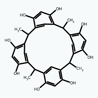 CC1c2cc(c(O)cc2O)C(C)c2cc(c(O)cc2O)C(C)c2cc(c(O)cc2O)C(C)c2cc1c(O)cc2O